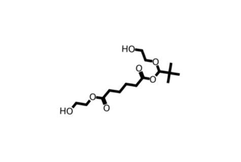 CC(C)(C)C(OCCO)OC(=O)CCCCC(=O)OCCO